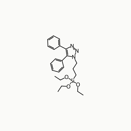 CCO[Si](CCCn1nnc(-c2ccccc2)c1-c1ccccc1)(OCC)OCC